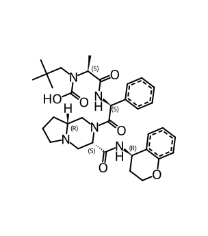 C[C@@H](C(=O)N[C@H](C(=O)N1C[C@H]2CCCN2C[C@H]1C(=O)N[C@@H]1CCOc2ccccc21)c1ccccc1)N(CC(C)(C)C)C(=O)O